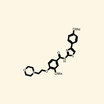 COc1ccc(-c2csc(NC(=O)c3ccc(OCCN4CCOCC4)c(OC)c3)n2)cc1